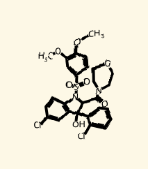 COc1ccc(S(=O)(=O)N2c3ccc(Cl)cc3C(O)(c3ccccc3Cl)C2C(=O)N2CCOCC2)cc1OC